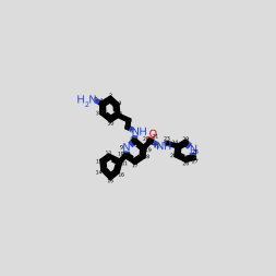 Nc1ccc(CCNc2nc(-c3ccccc3)ccc2C(=O)NCc2cccnc2)cc1